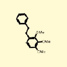 COc1c[c]c(CCc2ccccc2)c(OC)c1OC